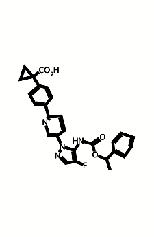 CC(OC(=O)Nc1c(F)cnn1-c1ccc(-c2ccc(C3(C(=O)O)CC3)cc2)nc1)c1ccccc1